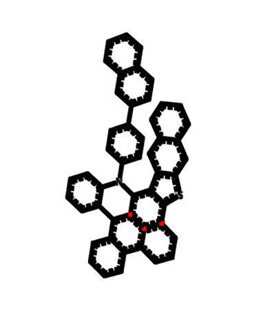 c1ccc(N(c2ccc(-c3ccc4ccccc4c3)cc2)c2cccc3sc4cc5ccccc5cc4c23)c(-c2cc3ccccc3c3ccccc23)c1